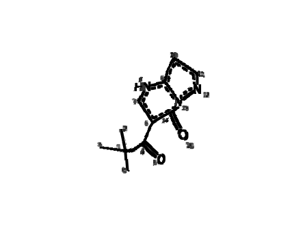 CC(C)(C)C(=O)c1c[nH]c2ccnn2c1=O